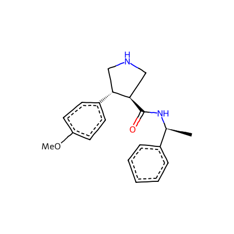 COc1ccc([C@@H]2CNC[C@H]2C(=O)N[C@@H](C)c2ccccc2)cc1